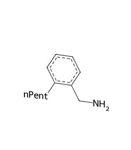 CCCCCc1ccccc1CN